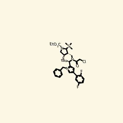 CCOC(=O)N1C[C@H](F)[C@@H](CN(C(=O)CCl)[C@@H](c2cc(-c3cc(F)ccc3F)cn2Cc2ccccc2)C(C)(C)C)C1[Si](C)(C)C